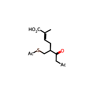 CC(=O)CC(=O)C(CC=C(C)C(=O)O)CSC(C)=O